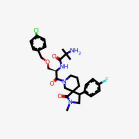 CN1CC(c2ccc(F)cc2)C2(CCCN(C(=O)[C@@H](COCc3ccc(Cl)cc3)NC(=O)C(C)(C)N)C2)C1=O